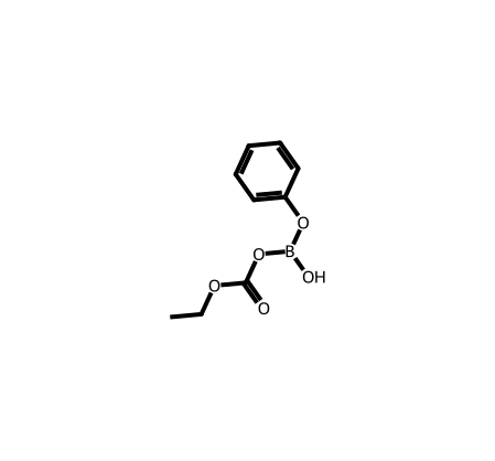 CCOC(=O)OB(O)Oc1ccccc1